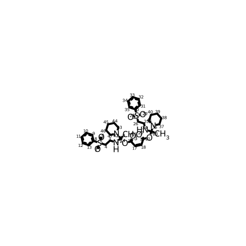 CC(NCCS(=O)(=O)c1ccccc1)(OC(=O)/C=C\C(=O)OC(C)(NCCS(=O)(=O)c1ccccc1)N1CCCCC1)N1CCCCC1